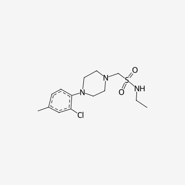 CCNS(=O)(=O)CN1CCN(c2ccc(C)cc2Cl)CC1